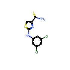 NC(=S)c1csc(Nc2cc(Cl)cc(Cl)c2)n1